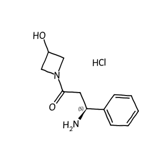 Cl.N[C@@H](CC(=O)N1CC(O)C1)c1ccccc1